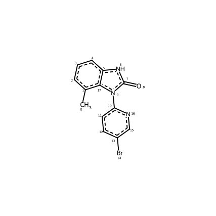 Cc1cccc2[nH]c(=O)n(-c3ccc(Br)cn3)c12